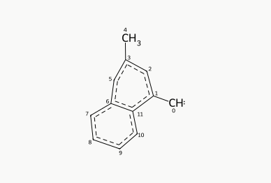 [CH]c1cc(C)cc2ccccc12